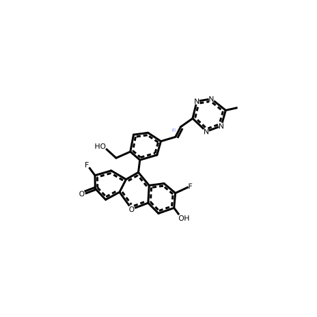 Cc1nnc(/C=C/c2ccc(CO)c(-c3c4cc(F)c(=O)cc-4oc4cc(O)c(F)cc34)c2)nn1